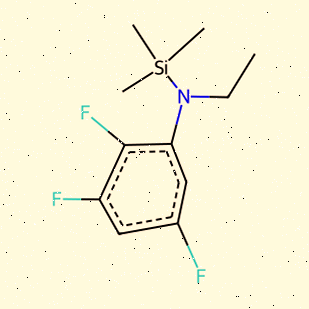 CCN(c1cc(F)cc(F)c1F)[Si](C)(C)C